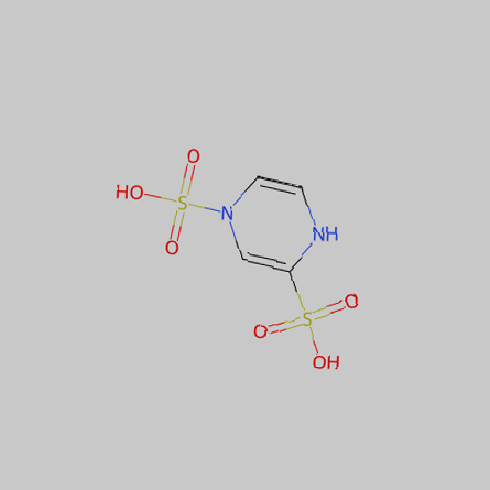 O=S(=O)(O)C1=CN(S(=O)(=O)O)C=CN1